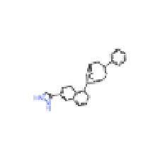 C1=C2C=C(c3cccc4cc(-c5c[nH][nH]5)ccc34)/C(=C/C=C(/c3ccccc3)C2)C1